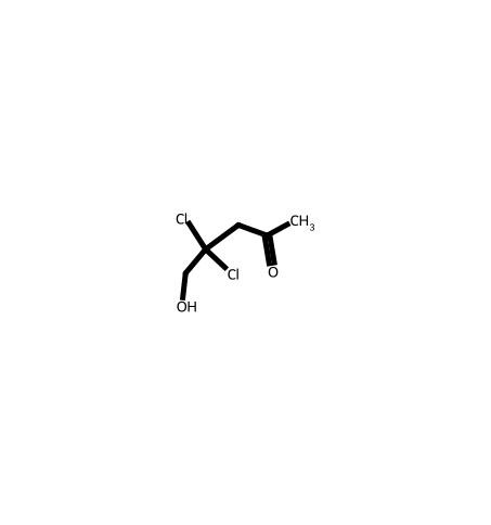 CC(=O)CC(Cl)(Cl)CO